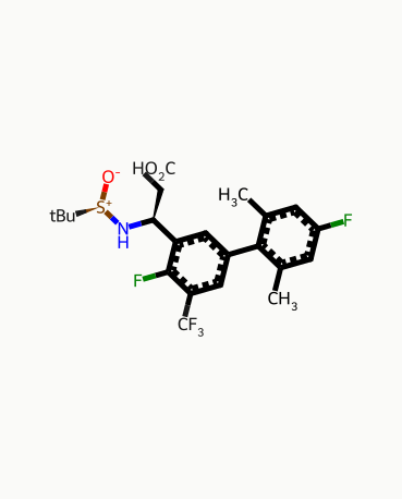 Cc1cc(F)cc(C)c1-c1cc([C@H](CC(=O)O)N[S@+]([O-])C(C)(C)C)c(F)c(C(F)(F)F)c1